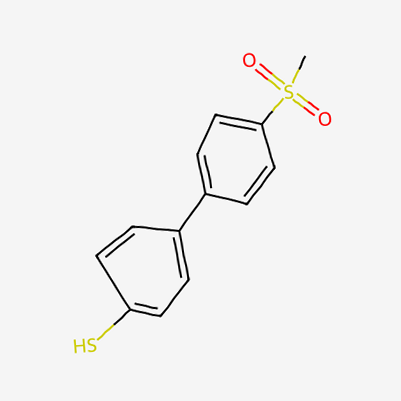 CS(=O)(=O)c1ccc(-c2ccc(S)cc2)cc1